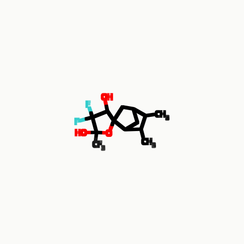 CC1C2CC(C1C)C1(C2)OC(O)(C(F)(F)F)C(F)(F)C1O